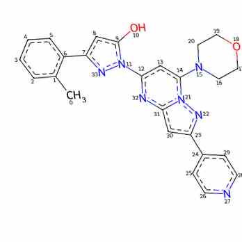 Cc1ccccc1-c1cc(O)n(-c2cc(N3CCOCC3)n3nc(-c4ccncc4)cc3n2)n1